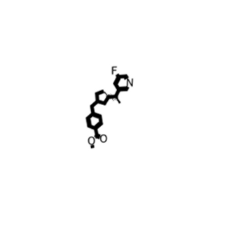 COC(=O)c1ccc(CC2CC[C@H]([C@H](C)c3cncc(F)c3)C2)cc1